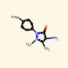 CC(=O)Nc1ccc(-n2c(=O)c(N)c(C)n2C)cc1